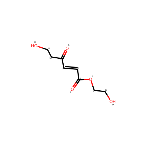 O=C(C=CC(=O)OCCO)CCO